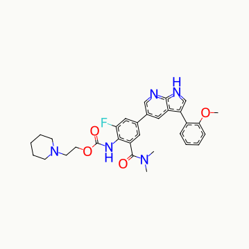 COc1ccccc1-c1c[nH]c2ncc(-c3cc(F)c(NC(=O)OCCN4CCCCC4)c(C(=O)N(C)C)c3)cc12